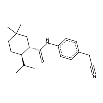 CC(C)[C@H]1CCC(C)(C)C[C@@H]1C(=O)Nc1ccc(CC#N)cc1